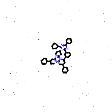 C1=CB2N(C=C1)B1C=C(c3ccccc3)C=CN1B1C=C(c3ccccc3)C=C(c3cccc(-c4nc(-c5ccccc5)nc(-c5ccccc5)n4)c3)N21